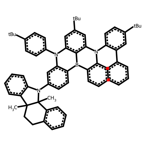 CC(C)(C)c1ccc(N2c3cc(N4c5ccccc5C5(C)CCc6ccccc6C45C)ccc3B3c4ccccc4N(c4ccc(C(C)(C)C)cc4-c4ccccc4)c4cc(C(C)(C)C)cc2c43)cc1